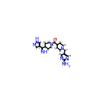 N=C(c1cn[nH]c1)C1CCN(C(=O)C2CCN(Cc3cnc(N)nc3)CC2)CC1